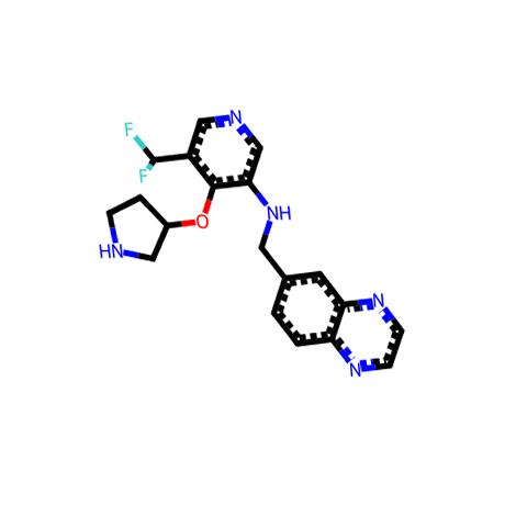 FC(F)c1cncc(NCc2ccc3nccnc3c2)c1OC1CCNC1